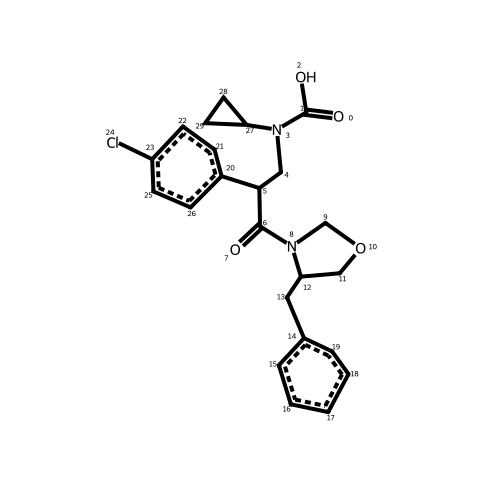 O=C(O)N(CC(C(=O)N1COCC1Cc1ccccc1)c1ccc(Cl)cc1)C1CC1